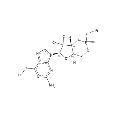 CCOc1nc(N)nc2c1ncn2[C@@H]1O[C@@H]2COP(=S)(OC(C)C)O[C@H]2C1(Cl)Cl